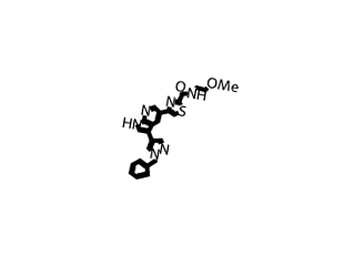 COCCNC(=O)c1nc(-c2cnc3[nH]cc(-c4cnn(Cc5ccccc5)c4)c3c2)cs1